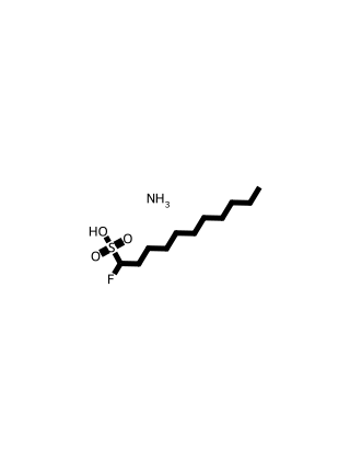 CCCCCCCCCCC(F)S(=O)(=O)O.N